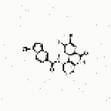 CN(C(=O)c1ccn2c(Cl)ccc2c1)[C@H]1COCc2[nH]c(=O)c3cc(F)c(F)cc3c21